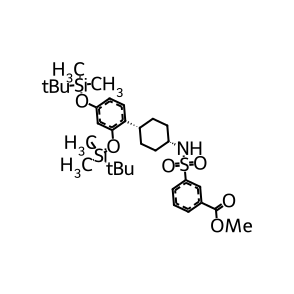 COC(=O)c1cccc(S(=O)(=O)N[C@H]2CC[C@@H](c3ccc(O[Si](C)(C)C(C)(C)C)cc3O[Si](C)(C)C(C)(C)C)CC2)c1